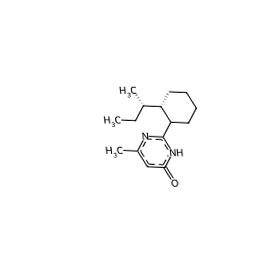 CC[C@H](C)[C@@H]1CCCCC1c1nc(C)cc(=O)[nH]1